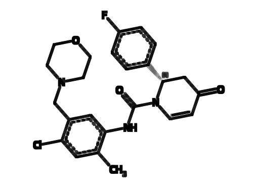 Cc1cc(Cl)c(CN2CCOCC2)cc1NC(=O)N1C=CC(=O)C[C@H]1c1ccc(F)cc1